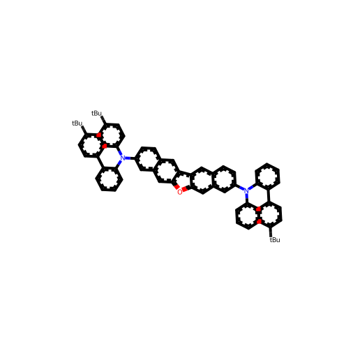 CC(C)(C)c1ccc(-c2ccccc2N(c2ccccc2)c2ccc3cc4c(cc3c2)oc2cc3cc(N(c5ccc(C(C)(C)C)cc5)c5ccccc5-c5ccc(C(C)(C)C)cc5)ccc3cc24)cc1